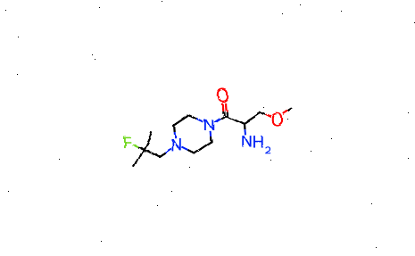 COCC(N)C(=O)N1CCN(CC(C)(C)F)CC1